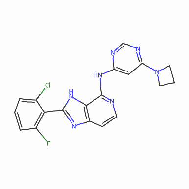 Fc1cccc(Cl)c1-c1nc2ccnc(Nc3cc(N4CCC4)ncn3)c2[nH]1